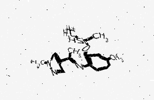 CC(=Nc1ccc(C)cc1O[SiH](C)C)c1cnn(C)c1.[H+]